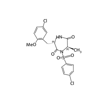 COc1ccc(Cl)cc1C[C@@H]1CNC(=O)[C@@H](C)N(S(=O)(=O)c2ccc(Cl)cc2)C1=O